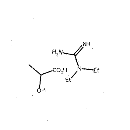 CC(O)C(=O)O.CCN(CC)C(=N)N